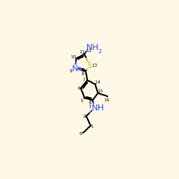 CCCNC1=CC=C(c2ncc(N)s2)CC1C